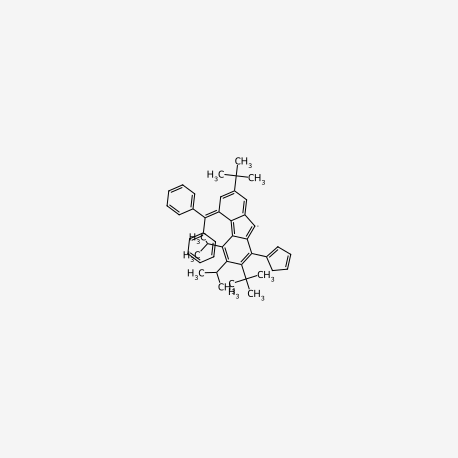 CC(C)c1c(C(C)(C)C)c(C2=CC=CC2)c2c(c1C(C)C)=c1c(cc(C(C)(C)C)cc1=C(c1ccccc1)c1ccccc1)[C]=2